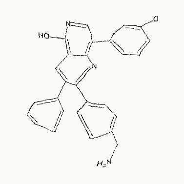 NCc1ccc(-c2nc3c(-c4cccc(Cl)c4)cnc(O)c3cc2-c2ccccc2)cc1